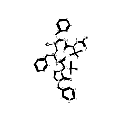 CC(C)(C)[C@H](NC(=O)O)C(=O)N[C@@H](Cc1ccccc1)[C@H](O)C[C@H](Cc1ccccc1)NC(=O)[C@@H](N1CCN(Cc2cccnc2)C1=O)C(C)(C)C